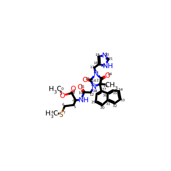 COC(=O)C(CCSC)NC(=O)CN1C(=O)N(Cc2cnc[nH]2)C(=O)C1(C)c1cccc2ccccc12